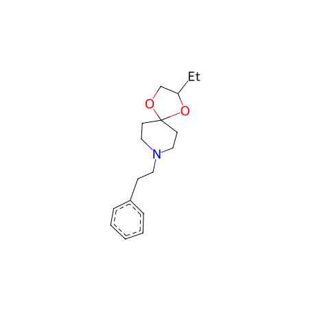 CCC1COC2(CCN(CCc3ccccc3)CC2)O1